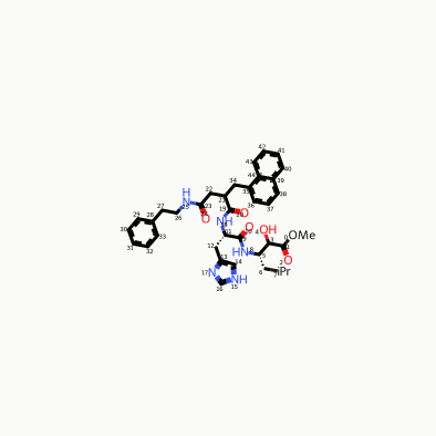 COC(=O)C(O)[C@H](CC(C)C)NC(=O)[C@H](Cc1c[nH]cn1)NC(=O)C(CC(=O)NCCc1ccccc1)Cc1cccc2ccccc12